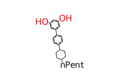 CCCCCC1CCC(c2ccc(-c3cc(O)cc(O)c3)cc2)CC1